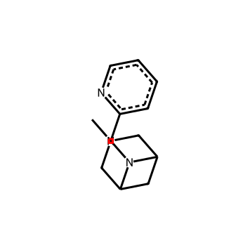 CN1CC2CC(C1)N2Cc1ccccn1